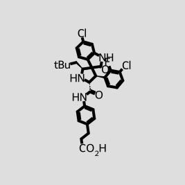 CC(C)(C)C[C@@H]1N[C@@H](C(=O)Nc2ccc(CCC(=O)O)cc2)[C@H](c2cccc(Cl)c2F)C12C(=O)Nc1cc(Cl)ccc12